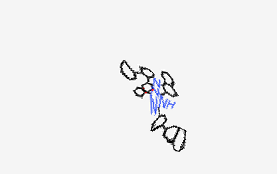 c1ccc(C2=NC(c3ccc(-c4ccc5ccccc5c4)cc3)NC(c3ccc4ccccc4c3-n3c4ccccc4c4c(-c5ccccc5)cccc43)=N2)cc1